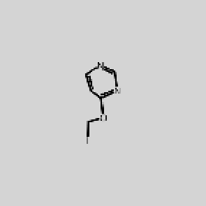 ICOc1ccncn1